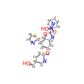 O=C(O)N1C2CC1CN(c1nc3cc(Oc4ccc(CO)cn4)cc(-c4nccs4)c3o1)C2